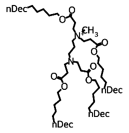 CCCCCCCCCCCCCCCOC(=O)CCN(CCC[N+](C)(CCC(=O)OCCCCCCCCCCCCCCC)CCC(=O)OCCCCCCCCCCCCCCC)CCC(=O)OCCCCCCCCCCCCCCC